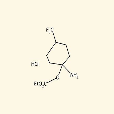 CCOC(=O)OC1(N)CCC(C(F)(F)F)CC1.Cl